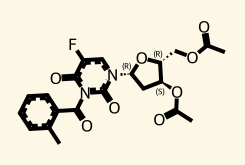 CC(=O)OC[C@H]1O[C@@H](n2cc(F)c(=O)n(C(=O)c3ccccc3C)c2=O)C[C@@H]1OC(C)=O